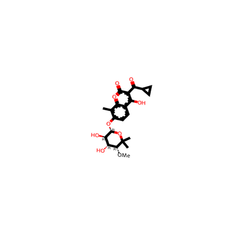 CO[C@@H]1[C@H](O)[C@@H](O)[C@H](Oc2ccc3c(O)c(C(=O)C4CC4)c(=O)oc3c2C)OC1(C)C